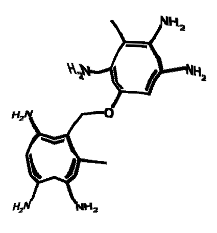 Cc1c(N)c(N)cc(OCc2c(N)cc(N)c(N)c2C)c1N